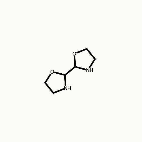 [CH]1COC(C2NCCO2)N1